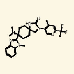 Cc1cc(C(F)(F)F)ncc1N1CC2(CCC(c3nc4ccccc4n3C)(N(C)C)CC2)NC1=O